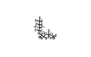 O=S(=O)(OC(F)(F)C(F)(F)C(F)(F)C(F)(F)F)C(F)(F)OC(F)(F)OC(F)(F)F